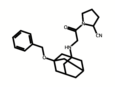 N#CC1CCCN1C(=O)CNC12CC3CC(C1)CC(OCc1ccccc1)(C3)C2